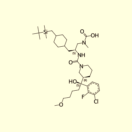 COCCCC[C@@](O)(c1cccc(Cl)c1F)[C@@H]1CCCN(C(=O)N[C@@H](CC2CCC(C[Si](C)(C)C(C)(C)C)CC2)CN(C)C(=O)O)C1